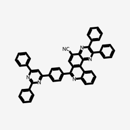 N#Cc1cc2c(-c3ccc(-c4cc(-c5ccccc5)nc(-c5ccccc5)n4)cc3)nc3ccccc3c2c2nc(-c3ccccc3)c(-c3ccccc3)nc12